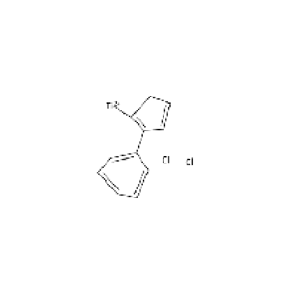 [Cl-].[Cl-].[Ti+2][C]1=C(c2ccccc2)C=CC1